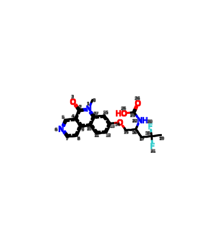 Cn1c(=O)c2cnccc2c2ccc(OCC(CC(C)(F)F)NC(=O)O)cc21